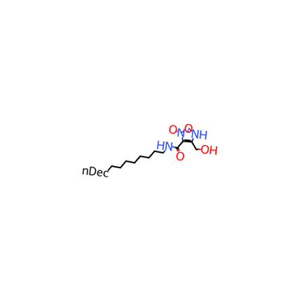 CCCCCCCCCCCCCCCCCCNC(=O)c1c(CO)[nH]o[n+]1=O